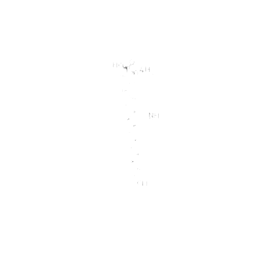 CCCCCCCCCCCCCCCCP(=O)(O)OC.N